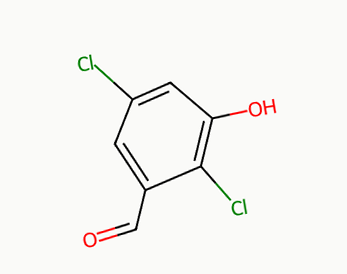 O=Cc1cc(Cl)cc(O)c1Cl